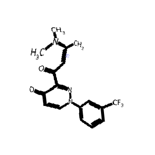 C/C(=C/C(=O)c1nn(-c2cccc(C(F)(F)F)c2)ccc1=O)N(C)C